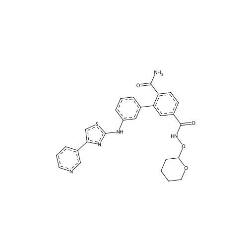 NC(=O)c1ccc(C(=O)NOC2CCCCO2)cc1-c1cccc(Nc2nc(-c3cccnc3)cs2)c1